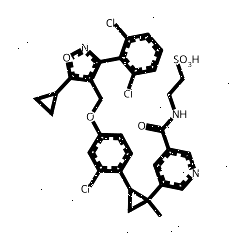 CC1(c2cncc(C(=O)NCCS(=O)(=O)O)c2)CC1c1ccc(OCc2c(-c3c(Cl)cccc3Cl)noc2C2CC2)cc1Cl